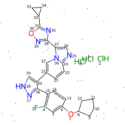 Cl.Cl.Cl.Fc1cc(OC2CCCC2)ccc1-c1n[nH]cc1-c1ccc2ncc(-c3noc(C4CC4)n3)n2c1